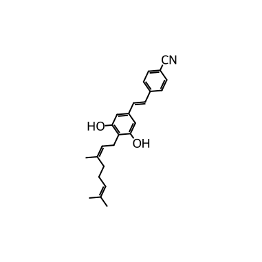 CC(C)=CCCC(C)=CCc1c(O)cc(C=Cc2ccc(C#N)cc2)cc1O